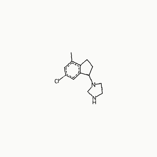 Cc1cc(Cl)cc2c1CCC2N1CCNC1